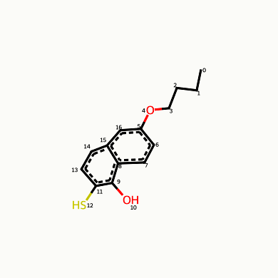 CCCCOc1ccc2c(O)c(S)ccc2c1